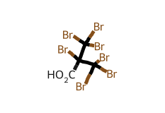 O=C(O)C(Br)(C(Br)(Br)Br)C(Br)(Br)Br